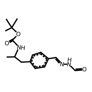 CC(Cc1ccc(/C=N/NC=O)cc1)NC(=O)OC(C)(C)C